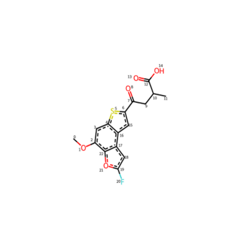 COc1cc2sc(C(=O)CC(C)C(=O)O)cc2c2cc(F)oc12